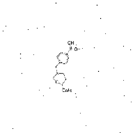 COC1CCN(Cc2ccc(B(O)O)cc2)CC1